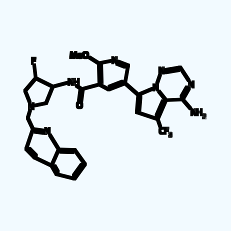 COc1ncc(-c2cc(C(F)(F)F)c3c(N)ncnn23)cc1C(=O)NC1CN(Cc2ccc3ccccc3n2)CC1F